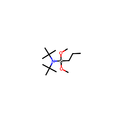 CCC[Si](OC)(OC)N(C(C)(C)C)C(C)(C)C